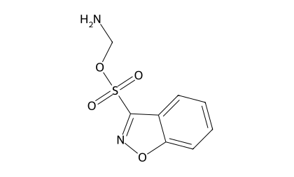 NCOS(=O)(=O)c1noc2ccccc12